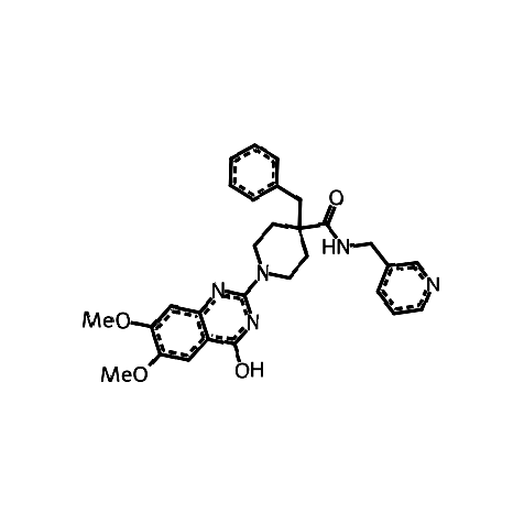 COc1cc2nc(N3CCC(Cc4ccccc4)(C(=O)NCc4cccnc4)CC3)nc(O)c2cc1OC